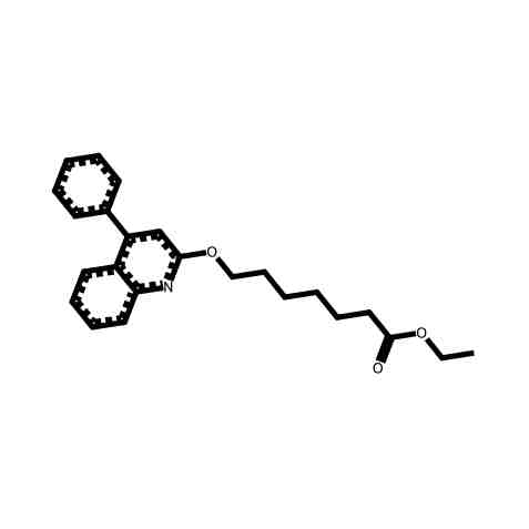 CCOC(=O)CCCCCCOc1cc(-c2ccccc2)c2ccccc2n1